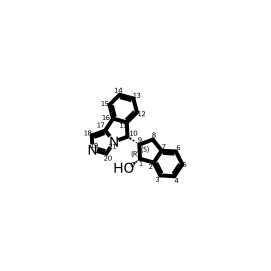 O[C@H]1c2ccccc2C[C@H]1C1c2ccccc2-c2cncn21